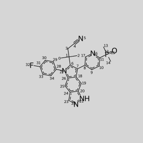 CC(C)(CC#N)c1c(-c2ccc(P(C)(C)=O)nc2)c2cc3[nH]ncc3cc2n1-c1ccc(F)cc1